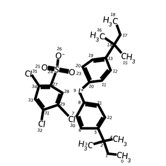 CCC(C)(C)c1ccc([I+]c2ccc(C(C)(C)CC)cc2)cc1.O=S(=O)([O-])c1cc(Cl)c(Cl)cc1Cl